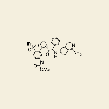 COC(=O)Nc1ccc(S(=O)(=O)C(C)C)c(C2CCCN2C(=O)C(Nc2ccc3c(N)nccc3c2)c2ccccc2)c1